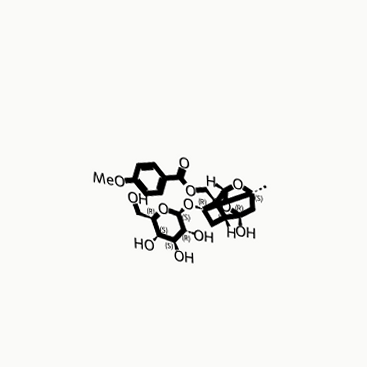 COc1ccc(C(=O)OC[C@]23[C@H]4O[C@]5(O)C[C@](C)(O4)[C@@]2(O[C@@H]2O[C@H](CO)[C@@H](O)[C@H](O)[C@H]2O)C[C@H]35)cc1